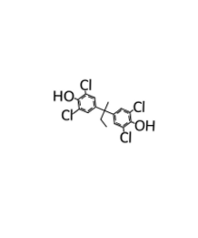 CCC(C)(c1cc(Cl)c(O)c(Cl)c1)c1cc(Cl)c(O)c(Cl)c1